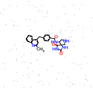 Cc1cc(Cc2ccc(C(=O)NC3CNCC34NC(=O)NC4=O)cc2)c2ccccc2n1